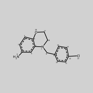 Nc1ccc2c(c1)N(Cc1ccc(Cl)cc1)CCO2